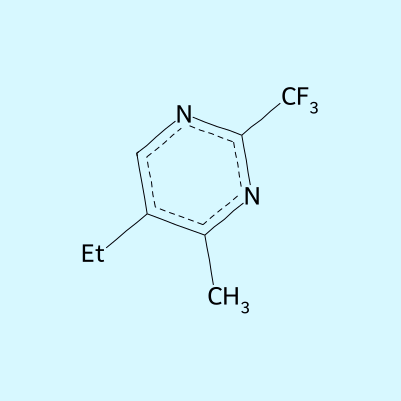 CCc1cnc(C(F)(F)F)nc1C